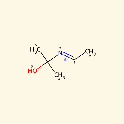 C/C=N/C(C)(C)O